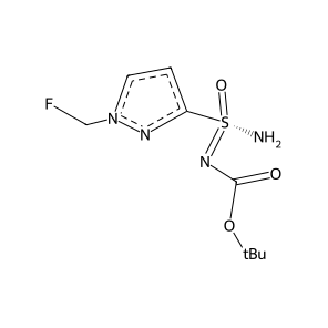 CC(C)(C)OC(=O)N=[S@](N)(=O)c1ccn(CF)n1